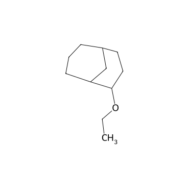 CCOC1CCC2CCCC1C2